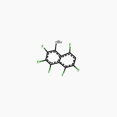 [CH2][CH]CCc1c(F)c(F)c(F)c2c(F)c(F)cc(F)c12